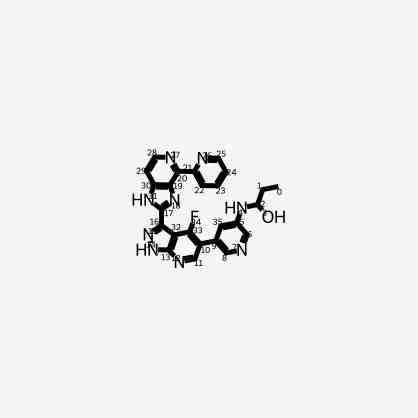 CCC(O)Nc1cncc(-c2cnc3[nH]nc(-c4nc5c(-c6ccccn6)nccc5[nH]4)c3c2F)c1